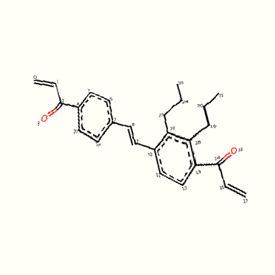 C=CC(=O)c1ccc(C=Cc2ccc(C(=O)C=C)c(CCC)c2CCC)cc1